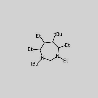 CCC1C(CC)N(C(C)(C)C)CN(CC)C(CC)C1C(C)(C)C